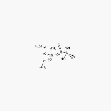 CCO[Si](C)(OCC)OC(=O)C(C)(S)S